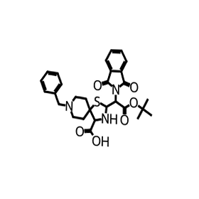 CC(C)(C)OC(=O)C(C1NC(C(=O)O)C2(CCN(Cc3ccccc3)CC2)S1)N1C(=O)c2ccccc2C1=O